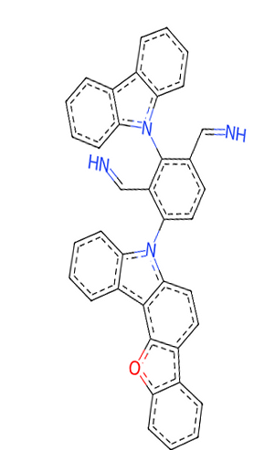 N=Cc1ccc(-n2c3ccccc3c3c4oc5ccccc5c4ccc32)c(C=N)c1-n1c2ccccc2c2ccccc21